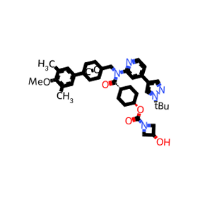 COc1c(C)cc(C23CCC(CN(c4cc(-c5cnn(C(C)(C)C)c5)ccn4)C(=O)[C@H]4CC[C@H](OC(=O)N5CC(O)C5)CC4)(CC2)CC3)cc1C